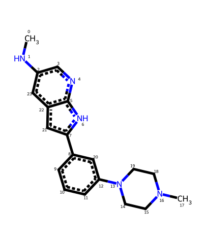 CNc1cnc2[nH]c(-c3cccc(N4CCN(C)CC4)c3)cc2c1